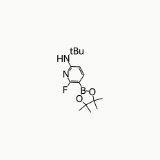 CC(C)(C)Nc1ccc(B2OC(C)(C)C(C)(C)O2)c(F)n1